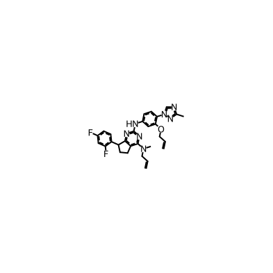 C=CCOc1cc(Nc2nc3c(c(N(C)CC=C)n2)CCC3c2ccc(F)cc2F)ccc1-n1cnc(C)n1